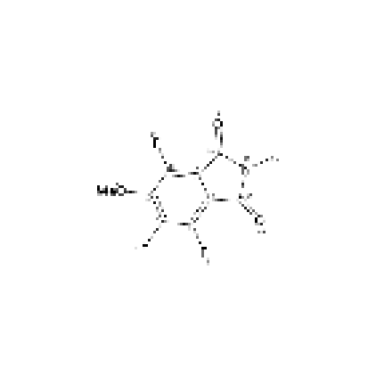 COc1c(F)c(F)c2c(c1F)C(=O)N(C)C2=O